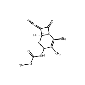 CC1=C(C(C)(C)C)N2C(=O)C(=C=O)[C@@H]2SC1NC(=O)OC(C)(C)C